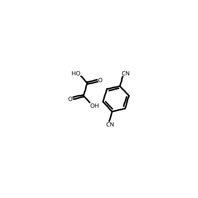 N#Cc1ccc(C#N)cc1.O=C(O)C(=O)O